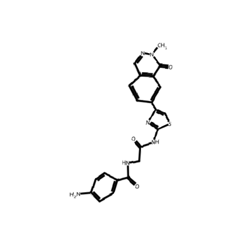 Cn1ncc2ccc(-c3csc(NC(=O)CNC(=O)c4ccc(N)cc4)n3)cc2c1=O